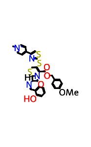 COc1ccc(COC(=O)C2=C(Sc3nc(-c4cc[n+](C)cc4)cs3)CS[C@@H]3[C@H](/N=C\c4ccccc4O)C(=O)N23)cc1